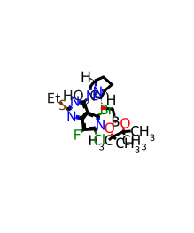 CCSc1nc(N2C[C@H]3CC[C@@H]([C@@H]2CCB2OC(C)(C)C(C)(C)O2)N3C(=O)O)c2c(Br)nc(Cl)c(F)c2n1